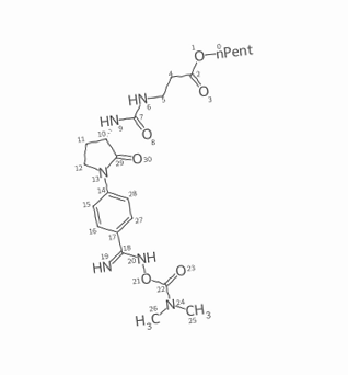 CCCCCOC(=O)CCNC(=O)N[C@H]1CCN(c2ccc(C(=N)NOC(=O)N(C)C)cc2)C1=O